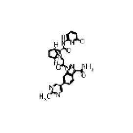 Cc1ncc(-c2ccc3c(C(N)=O)nn(C(=O)CN4[C@@H]5CC[C@@H](C5)[C@H]4C(=O)Nc4cccc(Cl)n4)c3c2)cn1